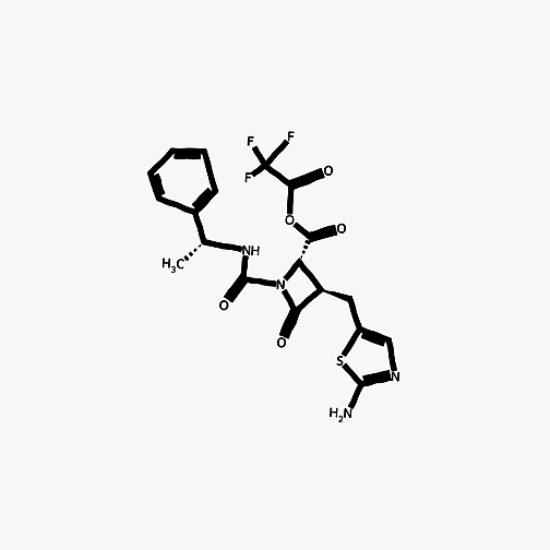 C[C@@H](NC(=O)N1C(=O)[C@H](Cc2cnc(N)s2)[C@H]1C(=O)OC(=O)C(F)(F)F)c1ccccc1